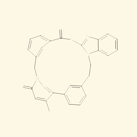 Cc1cc(=O)n2nc1-c1cccc(c1)CCn1c(nc3ccccc31)NC(=O)c1cccc(c1)C2